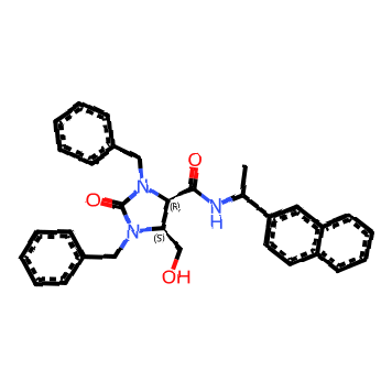 CC(NC(=O)[C@H]1[C@@H](CO)N(Cc2ccccc2)C(=O)N1Cc1ccccc1)c1ccc2ccccc2c1